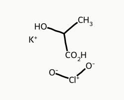 CC(O)C(=O)O.[K+].[O-][Cl+][O-]